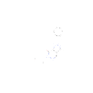 C[C@@H]1C[C@@H](n2ncc3c(Cl)n(Cc4ccccc4F)nc3c2=O)CCO1